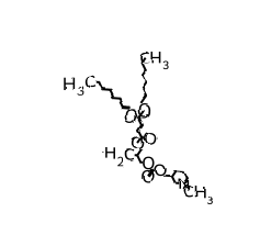 [CH2]C(COC(=O)CCC(OCCCCCCCC)OCCCCCCCC)COC(=O)OCC1CCCN(C)C1